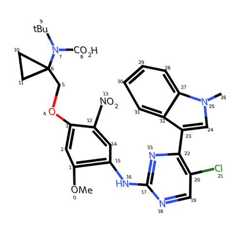 COc1cc(OCC2(N(C(=O)O)C(C)(C)C)CC2)c([N+](=O)[O-])cc1Nc1ncc(Cl)c(-c2cn(C)c3ccccc23)n1